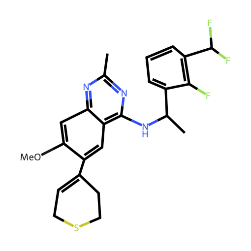 COc1cc2nc(C)nc(NC(C)c3cccc(C(F)F)c3F)c2cc1C1=CCSCC1